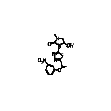 CC(Oc1cccc([N+](=O)[O-])c1)c1nnc(N2C(=O)N(C)CC2O)s1